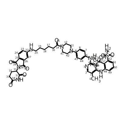 Cc1cnc(Nc2ccc(N3CCN(C(=O)CCCCCNc4ccc5c(c4)C(=O)N(C4CCC(=O)NC4=O)C5=O)CC3)cc2)nc1Nc1cccc(S(N)(=O)=O)c1C(C)(C)C